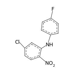 O=[N+]([O-])c1ccc(Cl)cc1Nc1ccc(F)cc1